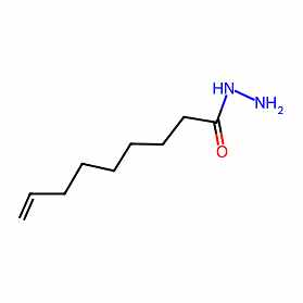 C=CCCCCCCC(=O)NN